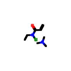 C=CC(=O)N(Cl)CC.CN(C)C